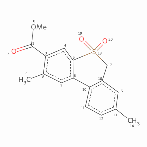 COC(=O)c1cc2c(cc1C)-c1ccc(C)cc1CS2(=O)=O